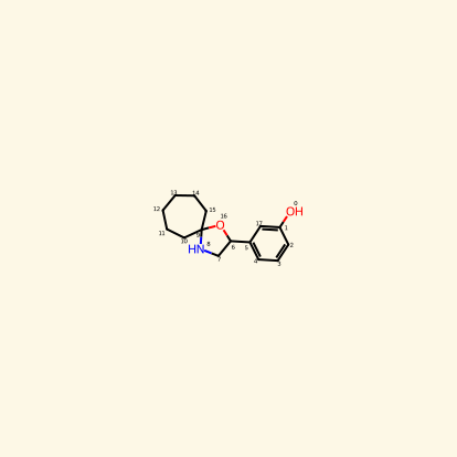 Oc1cccc(C2CNC3(CCCCCC3)O2)c1